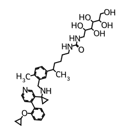 Cc1ccc(C(C)CCCCNC(=O)NCC(O)C(O)C(O)C(O)CO)cc1CNC1(c2cnccc2-c2ccccc2OC2CC2)CC1